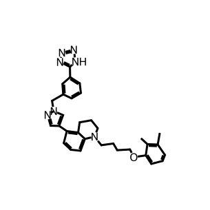 Cc1cccc(OCCCCN2CCCc3c(-c4cnn(Cc5cccc(-c6nnn[nH]6)c5)c4)cccc32)c1C